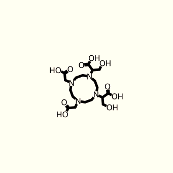 O=C(O)CN1CCN(CC(=O)O)CCN(C(CO)C(=O)O)CCN(C(CO)C(=O)O)CC1